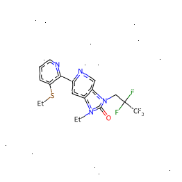 CCSc1cccnc1-c1cc2c(cn1)n(CC(F)(F)C(F)(F)F)c(=O)n2CC